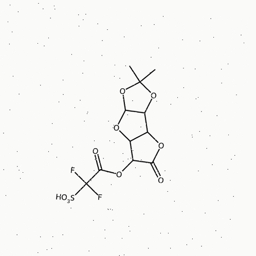 CC1(C)OC2OC3C(OC(=O)C(F)(F)S(=O)(=O)O)C(=O)OC3C2O1